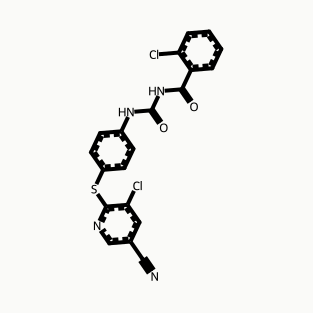 N#Cc1cnc(Sc2ccc(NC(=O)NC(=O)c3ccccc3Cl)cc2)c(Cl)c1